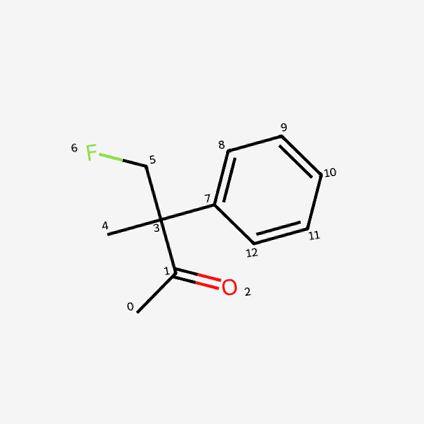 CC(=O)C(C)(CF)c1ccccc1